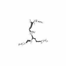 CCCC(=O)OCC.CCCCC(=O)OC